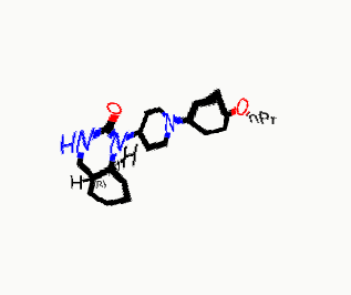 CCCOC1CCC(N2CCC(N3C(=O)NC[C@H]4CCCC[C@@H]43)CC2)CC1